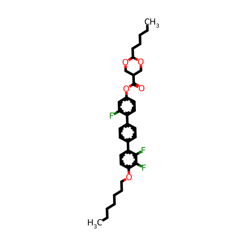 CCCCCCCOc1ccc(-c2ccc(-c3ccc(OC(=O)C4COC(CCCCC)OC4)cc3F)cc2)c(F)c1F